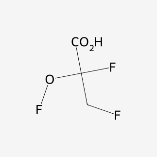 O=C(O)C(F)(CF)OF